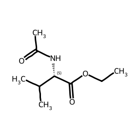 CCOC(=O)[C@@H](NC(C)=O)C(C)C